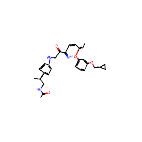 C/C=C(\C=C/C(=N)C(=O)CNc1ccc(C(C)CNC(C)=O)cc1)Oc1cccc(OCC2CC2)c1